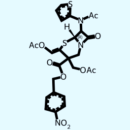 CC(=O)OC=C1S[C@@H]2C(N(C(C)=O)c3cccs3)C(=O)N2CC1(COC(C)=O)C(=O)OCc1ccc([N+](=O)[O-])cc1